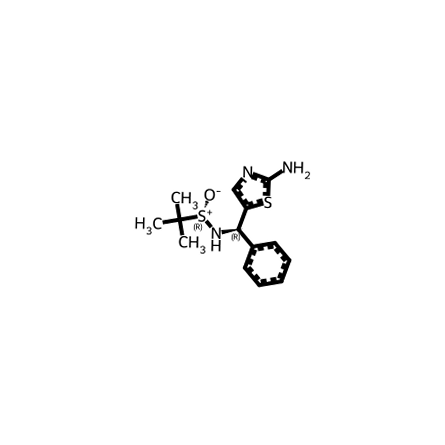 CC(C)(C)[S@+]([O-])N[C@H](c1ccccc1)c1cnc(N)s1